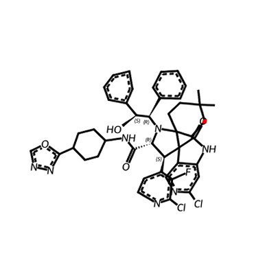 CC1(C)CCC2(CC1)N([C@H](c1ccccc1)[C@@H](O)c1ccccc1)[C@@H](C(=O)NC1CCC(c3nnco3)CC1)[C@H](c1ccnc(Cl)c1F)C21C(=O)Nc2cc(Cl)ncc21